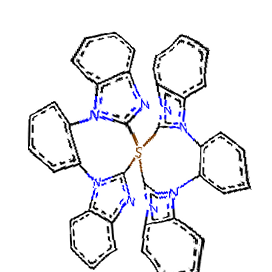 c1ccc2c(c1)-n1c(nc3ccccc31)S1(c3nc4ccccc4n3-2)c2nc3ccccc3n2-c2ccccc2-n2c1nc1ccccc12